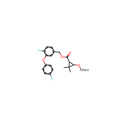 CCCCCOC1C(C(=O)OCc2ccc(F)c(Oc3ccc(F)cc3)c2)C1(C)C